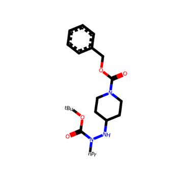 CCCN(NC1CCN(C(=O)OCc2ccccc2)CC1)C(=O)OC(C)(C)C